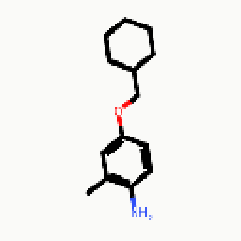 Cc1cc(OCC2CCCCC2)ccc1N